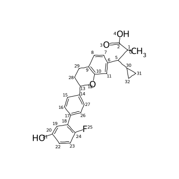 C[C@H](C(=O)O)C(c1ccc2c(c1)OC(c1ccc(-c3cc(O)ccc3F)cc1)CC2)C1CC1